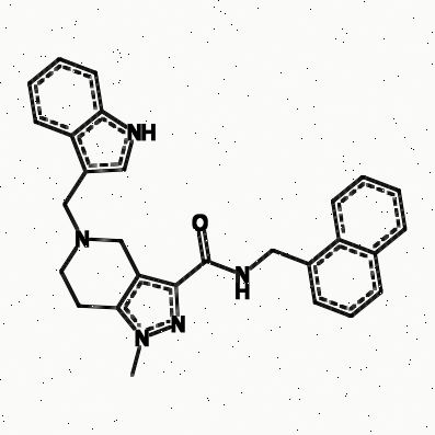 Cn1nc(C(=O)NCc2cccc3ccccc23)c2c1CCN(Cc1c[nH]c3ccccc13)C2